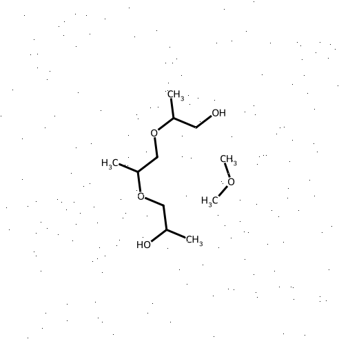 CC(O)COC(C)COC(C)CO.COC